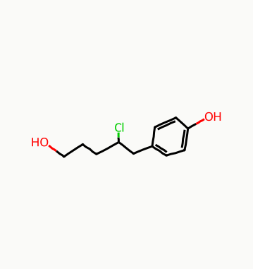 OCCCC(Cl)Cc1ccc(O)cc1